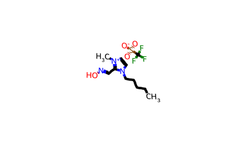 CCCCCn1cc[n+](C)c1C=NO.O=S(=O)([O-])C(F)(F)F